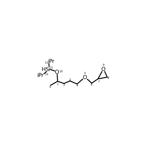 CC(CCCOCC1CO1)O[SiH](C(C)C)C(C)C